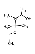 CCOC(C)(C)N(C)C(C)O